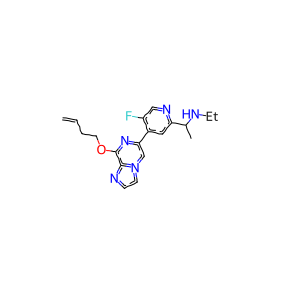 C=CCCOc1nc(-c2cc(C(C)NCC)ncc2F)cn2ccnc12